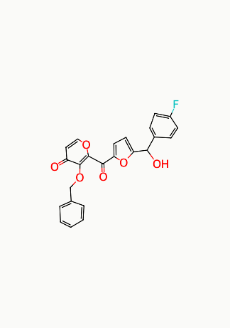 O=C(c1ccc(C(O)c2ccc(F)cc2)o1)c1occc(=O)c1OCc1ccccc1